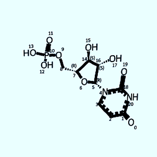 O=c1ccn([C@@H]2O[C@H](COP(=O)(O)O)[C@@H](O)[C@@H]2O)c(=O)[nH]1